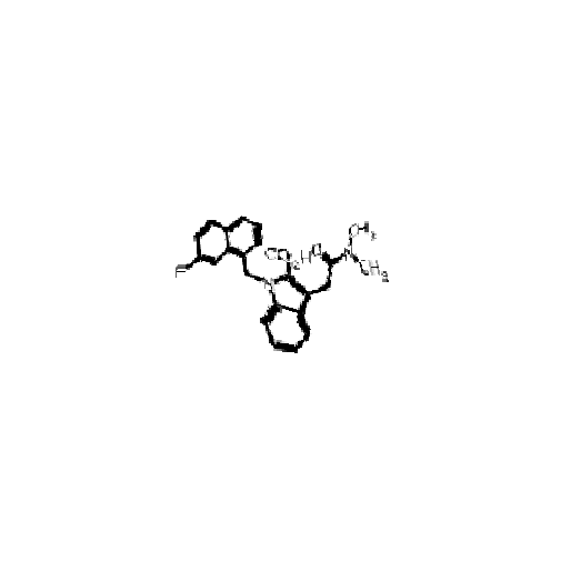 CN(C)C(=O)Cc1c(C(=O)O)n(Cc2cccc3ccc(F)cc23)c2ccccc12